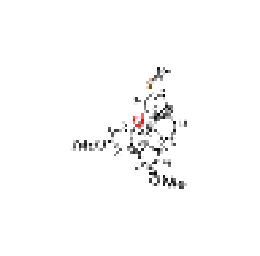 COc1ccc(C(OC2CCCC(SC(C)=O)C2)(c2ccccc2)c2ccc(OC)cc2)cc1